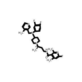 Cc1ccncc1CN(c1ccc(F)c(F)c1)C1CCN([C@H](C)CCNC(=O)c2c(C)cc(F)nc2C)CC1